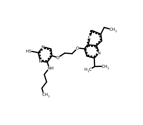 CCCCNc1nc(S)ncc1OCCOc1cc(C(C)C)nc2cc(CC)ccc12